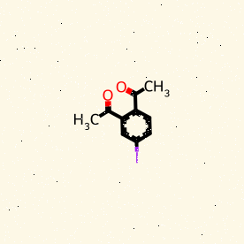 CC(=O)c1ccc(I)cc1C(C)=O